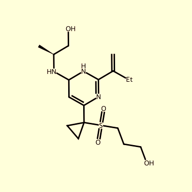 C=C(CC)C1=NC(C2(S(=O)(=O)CCCO)CC2)=CC(N[C@@H](C)CO)N1